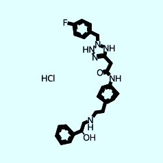 Cl.O=C(CC1=NNN(Cc2ccc(F)cc2)N1)Nc1ccc(CCNC[C@H](O)c2ccccc2)cc1